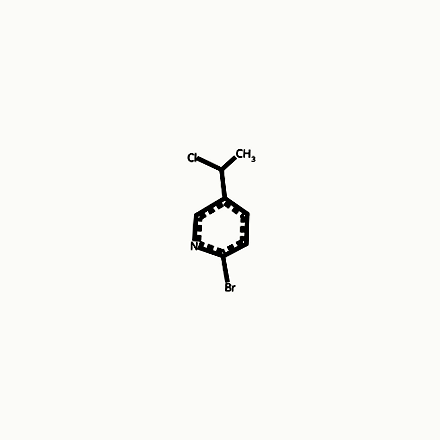 CC(Cl)c1ccc(Br)nc1